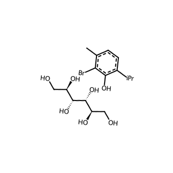 Cc1ccc(C(C)C)c(O)c1Br.OC[C@@H](O)[C@@H](O)[C@H](O)[C@H](O)CO